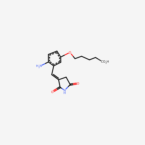 Nc1ccc(OCCCCC(=O)O)cc1C=C1CC(=O)NC1=O